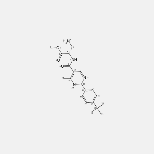 COC(=O)[C@H](CN)NC(=O)c1cnc(-c2ccc(C(C)(C)C)cc2)nc1C